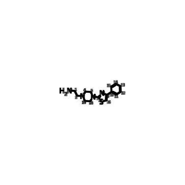 NCCN1CCN(c2nc(-c3ccccc3)cs2)CC1